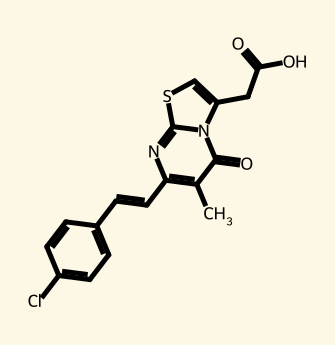 Cc1c(/C=C/c2ccc(Cl)cc2)nc2scc(CC(=O)O)n2c1=O